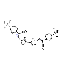 N#C/C(=C\c1ccc(-c2ccc(/C=C(\C#N)c3ccc(C(F)(F)F)cc3)s2)s1)c1ccc(C(F)(F)F)cc1